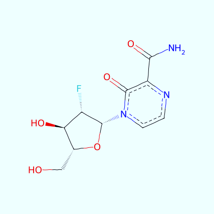 NC(=O)c1nccn([C@@H]2O[C@H](CO)[C@@H](O)[C@@H]2F)c1=O